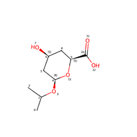 CC(C)O[C@H]1C[C@@H](O)C[C@@H](C(=O)O)O1